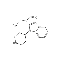 CCOC=O.c1ccc2c(c1)ccn2C1CCNCC1